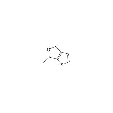 CC1OCc2ccsc21